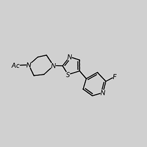 CC(=O)N1CCN(c2ncc(-c3ccnc(F)c3)s2)CC1